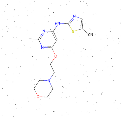 Cc1nc(Nc2ncc(C#N)s2)cc(OCCN2CCOCC2)n1